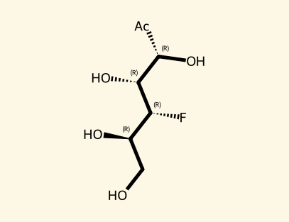 CC(=O)[C@H](O)[C@@H](O)[C@H](F)[C@H](O)CO